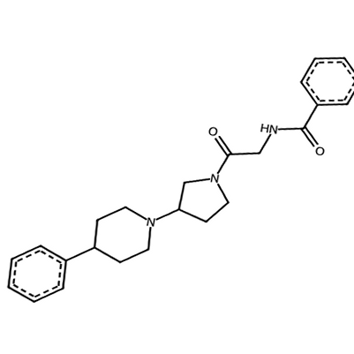 O=C(NCC(=O)N1CCC(N2CCC(c3ccccc3)CC2)C1)c1ccccc1